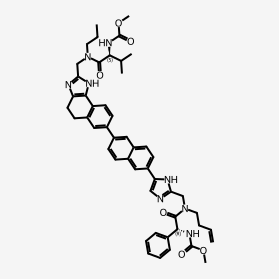 C=CCCN(Cc1ncc(-c2ccc3cc(-c4ccc5c(c4)CCc4nc(CN(CCC)C(=O)[C@@H](NC(=O)OC)C(C)C)[nH]c4-5)ccc3c2)[nH]1)C(=O)[C@H](NC(=O)OC)c1ccccc1